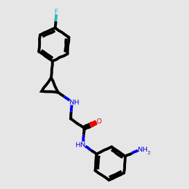 Nc1cccc(NC(=O)CNC2CC2c2ccc(F)cc2)c1